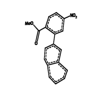 COC(=O)c1ccc([N+](=O)[O-])cc1-c1ccc2ccccc2c1